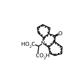 O=C(O)C(C(=O)O)n1c2ccccc2c(=O)c2ccccc21